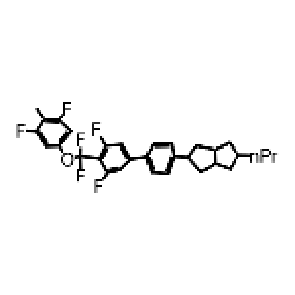 CCCC1CC2CC(c3ccc(-c4cc(F)c(C(F)(F)Oc5cc(F)c(C)c(F)c5)c(F)c4)cc3)CC2C1